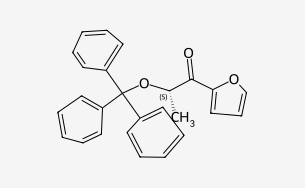 C[C@H](OC(c1ccccc1)(c1ccccc1)c1ccccc1)C(=O)c1ccco1